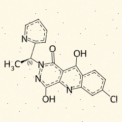 C[C@@H](c1ccccn1)n1nc(O)c2nc3cc(Cl)ccc3c(O)c2c1=O